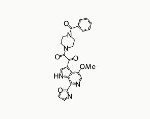 COc1cnc(-c2ncco2)c2[nH]cc(C(=O)C(=O)N3CCN(C(=O)c4ccccc4)CC3)c12